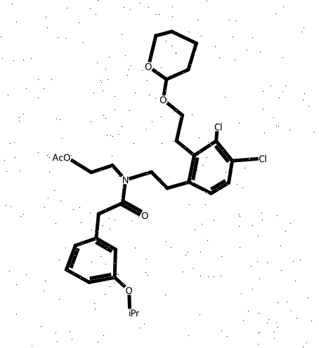 CC(=O)OCCN(CCc1ccc(Cl)c(Cl)c1CCOC1CCCCO1)C(=O)Cc1cccc(OC(C)C)c1